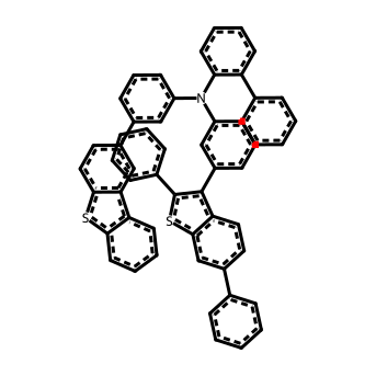 c1ccc(-c2ccc3c(-c4cccc(N(c5cccc(-c6ccc7sc8ccccc8c7c6)c5)c5ccccc5-c5ccccc5)c4)c(-c4ccccc4)sc3c2)cc1